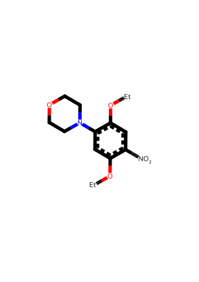 CCOc1cc([N+](=O)[O-])c(OCC)cc1N1CCOCC1